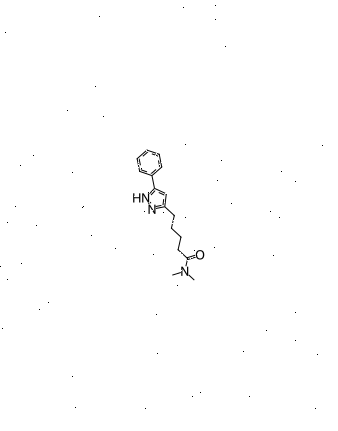 CN(C)C(=O)CCCCc1cc(-c2ccccc2)[nH]n1